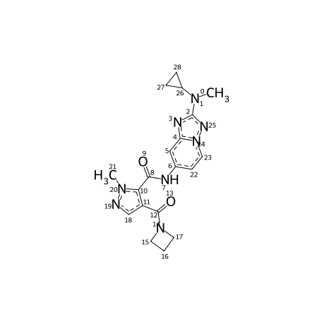 CN(c1nc2cc(NC(=O)c3c(C(=O)N4CCC4)cnn3C)ccn2n1)C1CC1